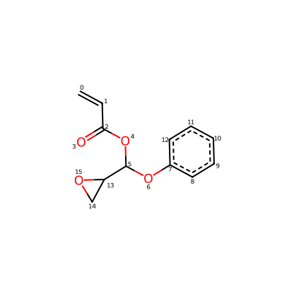 C=CC(=O)OC(Oc1ccccc1)C1CO1